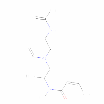 C=CN(CCNC(=C)C)CC(C)N(C)C(=O)/C=C\C=O